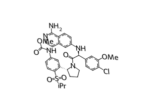 COC(=O)Nc1ccc(S(=O)(=O)C(C)C)c([C@H]2CCCN2C(=O)[C@@H](Nc2ccc3c(N)nccc3c2)c2ccc(Cl)c(OC)c2)c1